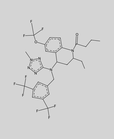 CCCC(=O)N1c2ccc(OC(F)(F)F)cc2C(N(Cc2cc(C(F)(F)F)cc(C(F)(F)F)c2)c2nnn(C)n2)CC1CC